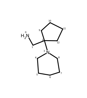 NCC1(N2CCCCC2)CCCC1